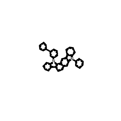 c1ccc(-c2cccc(-n3c4ccccc4c4ccc5cc6c(cc5c43)c3ccccc3n6-c3ccccc3)c2)cc1